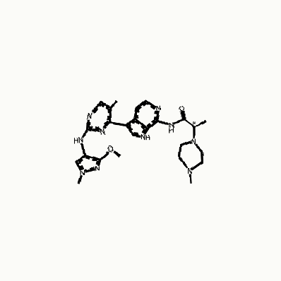 COc1nn(C)cc1Nc1ncc(C)c(-c2c[nH]c3c(NC(=O)[C@@H](C)N4CCN(C)CC4)nccc23)n1